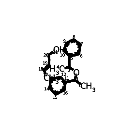 CC(OC(C)c1ccccc1)c1ccccc1.CC=CCO